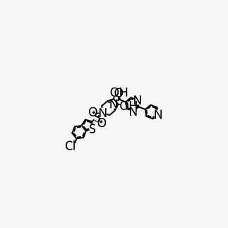 O=C(c1cnc(-c2ccncc2)nc1)N1C2CN(S(=O)(=O)c3cc4ccc(Cl)cc4s3)CC1C(O)C2O